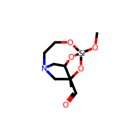 CO[Si]12OCCN(CC(C)O1)CC(C=O)O2